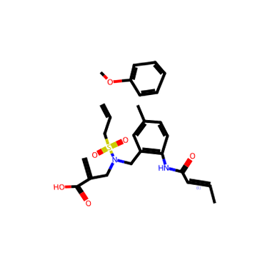 C=CCS(=O)(=O)N(CC(=C)C(=O)O)Cc1cc(C)ccc1NC(=O)/C=C/C.COc1ccccc1